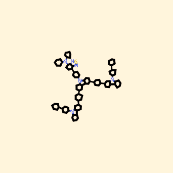 c1ccc(-c2ccc(-n3c4ccccc4c4ccc(-c5ccc(-c6ccc7c(c6)c6cc(-c8ccc(-c9ccc%10c%11ccccc%11n(-c%11ccc(-c%12ccccc%12)cc%11)c%10c9)cc8)ccc6n7-c6ccc(-c7ccc(N(c8ccccc8)c8ccccc8)c8nsnc78)cc6)cc5)cc43)cc2)cc1